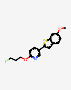 COc1ccc2cc(-c3ccc(OCCCF)nc3)sc2c1